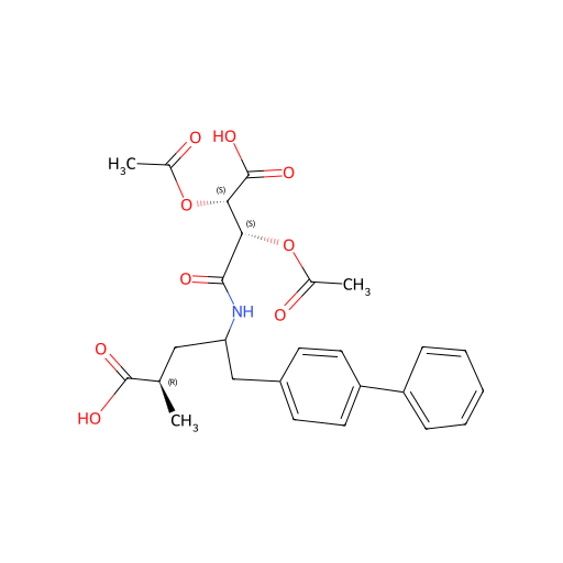 CC(=O)O[C@H](C(=O)O)[C@H](OC(C)=O)C(=O)NC(Cc1ccc(-c2ccccc2)cc1)C[C@@H](C)C(=O)O